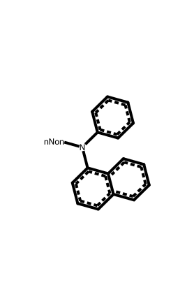 CCCCCCCCCN(c1ccccc1)c1cccc2ccccc12